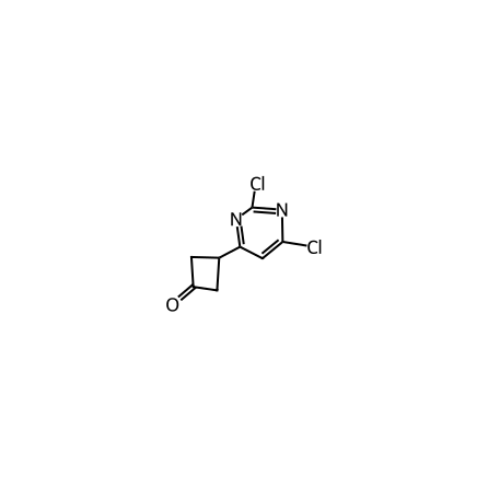 O=C1CC(c2cc(Cl)nc(Cl)n2)C1